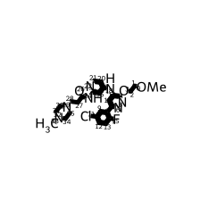 COCCOc1nnc(-c2cc(Cl)ccc2F)cc1Nc1ccnc(NC(=O)CCN2CCN(C)CC2)c1